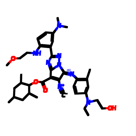 [C-]#[N+]C1=C(C(=O)OC2C(C)CC(C)CC2C)c2nc(-c3cc(N(C)C)ccc3NCCOC)nn2/C1=N/c1ccc(N(CC)CCO)cc1C